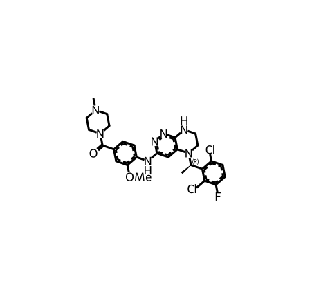 COc1cc(C(=O)N2CCN(C)CC2)ccc1Nc1cc2c(nn1)NCCN2[C@H](C)c1c(Cl)ccc(F)c1Cl